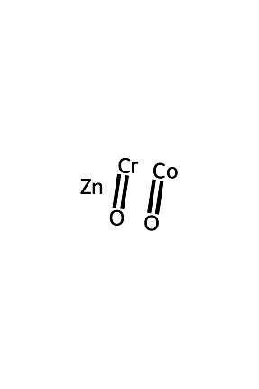 [O]=[Co].[O]=[Cr].[Zn]